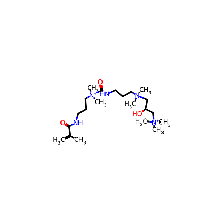 C=C(C)C(=O)NCCC[N+](C)(C)C(=O)NCCC[N+](C)(C)CC(O)C[N+](C)(C)C